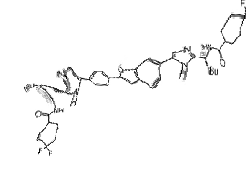 CC(C)(C)[C@H](NC(=O)C1CCC(F)(F)CC1)c1ncc(-c2ccc(-c3cc4ccc(-c5cnc([C@@H](NC(=O)C6CCC(F)(F)CC6)C(C)(C)C)[nH]5)cc4o3)cc2)[nH]1